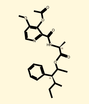 CCC(C)[C@@H](c1ccccc1)C(C)OC(=O)[C@H](C)NC(=O)c1nccc(OC)c1OC(C)=O